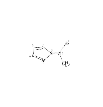 CN(Br)n1cccn1